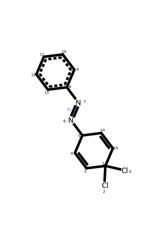 ClC1(Cl)C=CC(/N=N/c2ccccc2)C=C1